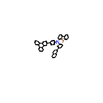 c1cc(-c2ccc3ccccc3c2)cc(N(c2ccc(-c3ccc4c5ccccc5c5ccccc5c4c3)cc2)c2cccc3c2sc2ccccc23)c1